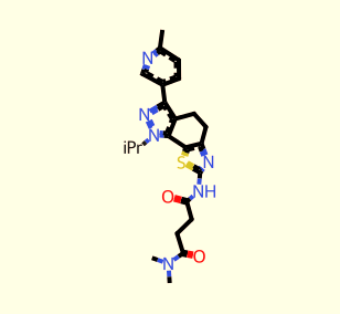 Cc1ccc(-c2nn(C(C)C)c3c2CCc2nc(NC(=O)CCC(=O)N(C)C)sc2-3)cn1